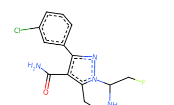 NC(=O)c1c(-c2cccc(Cl)c2)nn2c1CCNC2CF